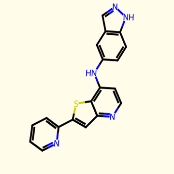 c1ccc(-c2cc3nccc(Nc4ccc5[nH]ncc5c4)c3s2)nc1